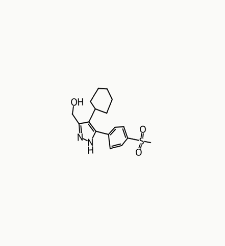 CS(=O)(=O)c1ccc(-c2[nH]nc(CO)c2C2CCCCC2)cc1